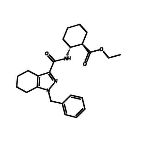 CCOC(=O)[C@@H]1CCCC[C@H]1NC(=O)c1nn(Cc2ccccc2)c2c1CCCC2